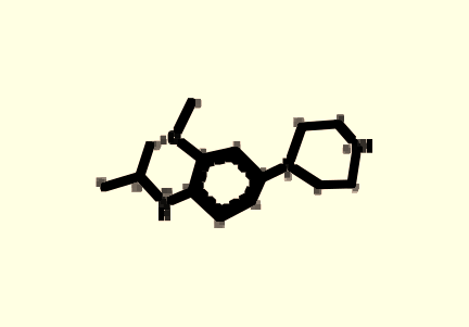 COc1cc(N2CCNCC2)ccc1NC(C)C